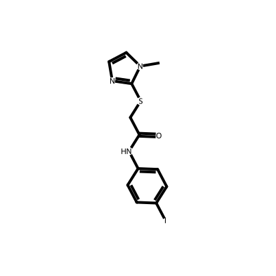 Cn1ccnc1SCC(=O)Nc1ccc(I)cc1